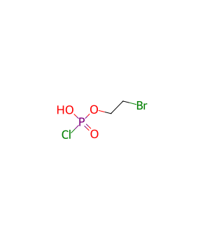 O=P(O)(Cl)OCCBr